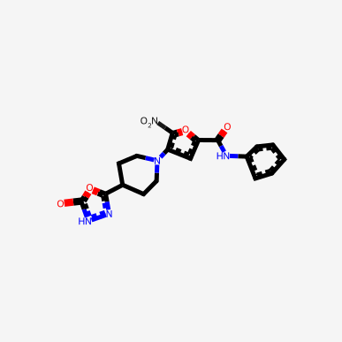 O=C(Nc1ccccc1)c1cc(N2CCC(c3n[nH]c(=O)o3)CC2)c([N+](=O)[O-])o1